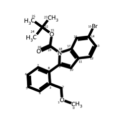 COCc1ccccc1-c1cc2ccc(Br)cc2n1C(=O)OC(C)(C)C